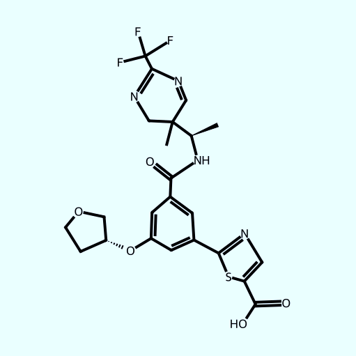 C[C@@H](NC(=O)c1cc(O[C@@H]2CCOC2)cc(-c2ncc(C(=O)O)s2)c1)C1(C)C=NC(C(F)(F)F)=NC1